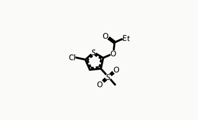 CCC(=O)Oc1sc(Cl)cc1S(C)(=O)=O